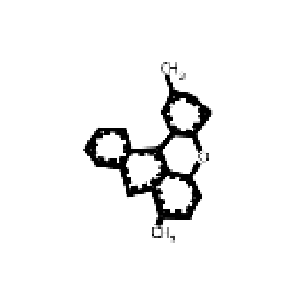 Cc1ccc2c(c1)-c1c3ccccc3cc3c(C)ccc(c13)O2